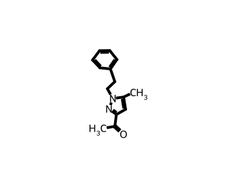 CC(=O)c1cc(C)n(CCc2ccccc2)n1